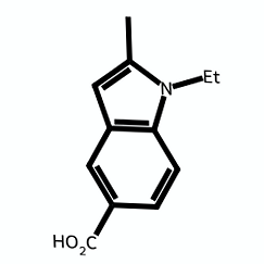 CCn1c(C)cc2cc(C(=O)O)ccc21